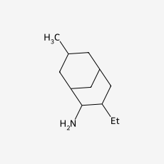 CCC1CC2CC(C)CC(C2)C1N